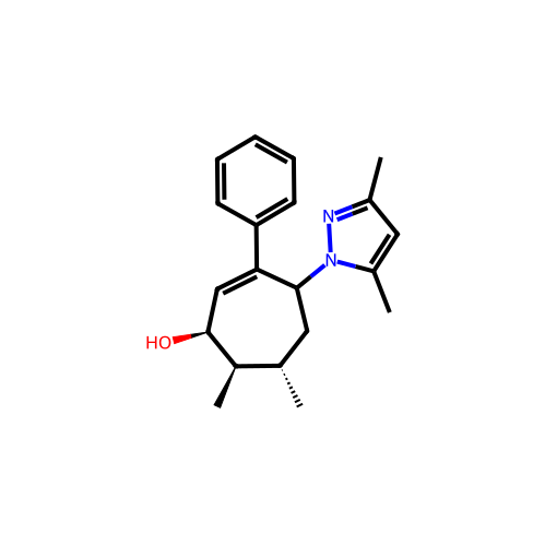 Cc1cc(C)n(C2C[C@H](C)[C@@H](C)[C@@H](O)C=C2c2ccccc2)n1